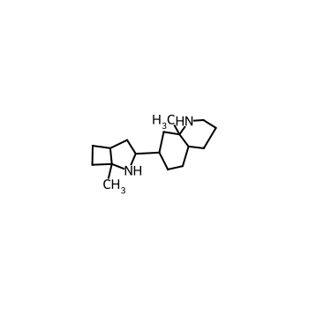 CC12CC(C3CC4CCC4(C)N3)CCC1CCCN2